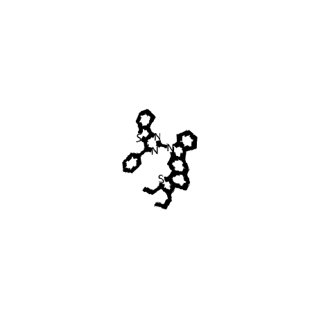 C=Cc1sc2c(ccc3cc4c5ccccc5n(-c5nc(-c6ccccc6)c6sc7ccccc7c6n5)c4cc32)c1/C=C\C